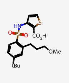 COCCCc1cc(C(C)(C)C)ccc1S(=O)(=O)Nc1ccsc1C(=O)O